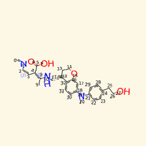 C=N/C=C\C(C(=O)O)=C(/C)NC[C@@H]1CCOc2cc(N(C)c3ccc(CCO)cc3)ccc21